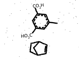 C1=CC2CCC1C2.Cc1cc(C(=O)O)cc(C(=O)O)c1